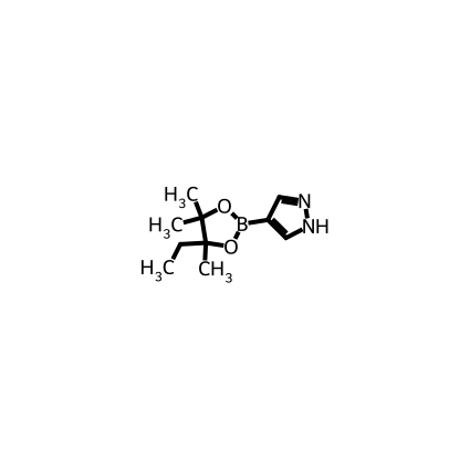 CCC1(C)OB(c2cn[nH]c2)OC1(C)C